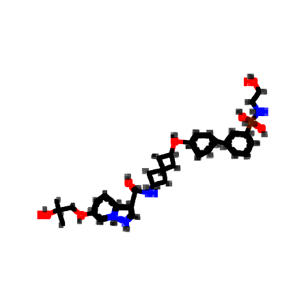 CC(C)(O)COc1ccc2c(C(=O)NC3CC4(C3)CC(Oc3ccc(-c5cccc(S(=O)(=O)NCCO)c5)cc3)C4)cnn2c1